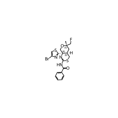 C[C@@]1(CF)C[C@H]2CSC(NC(=O)c3ccccc3)=N[C@@]2(c2nc(Br)cs2)CO1